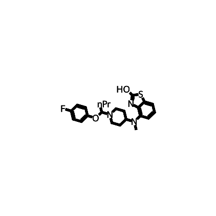 CCCC(Oc1ccc(F)cc1)N1CCC(N(C)c2cccc3sc(O)nc23)CC1